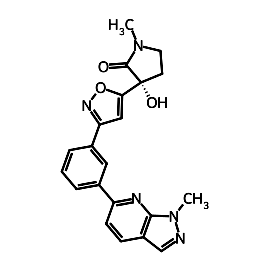 CN1CC[C@@](O)(c2cc(-c3cccc(-c4ccc5cnn(C)c5n4)c3)no2)C1=O